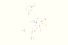 CC(C)(C)OC(=O)NC(CCCc1c(F)cccc1F)C(=O)O